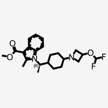 COC(=O)c1c(C)n([C@H](C)C2CCC(N3CC(OC(F)F)C3)CC2)c2ccccc12